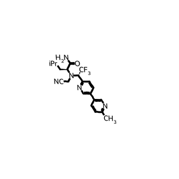 Cc1ccc(-c2ccc([C@H](N(CC#N)[C@@H](CC(C)C)C(N)=O)C(F)(F)F)nc2)cn1